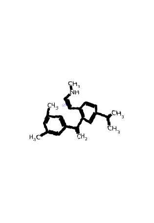 C=C(c1cc(C)cc(C)c1)c1cc(C(C)C)ccc1/C=C\NC